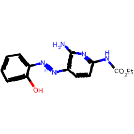 CCOC(=O)Nc1ccc(/N=N/c2ccccc2O)c(N)n1